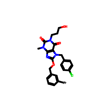 CC(C)c1cccc(COc2nc3c(c(=O)n(CCCO)c(=O)n3C)n2Cc2ccc(Cl)cc2)c1